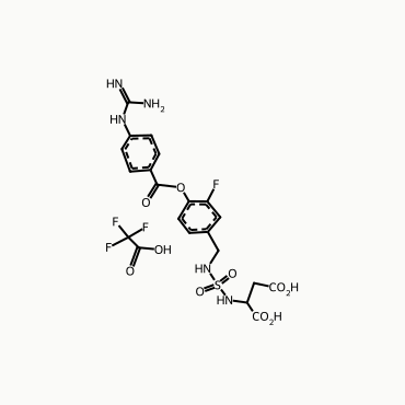 N=C(N)Nc1ccc(C(=O)Oc2ccc(CNS(=O)(=O)NC(CC(=O)O)C(=O)O)cc2F)cc1.O=C(O)C(F)(F)F